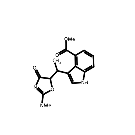 CNC1=NC(=O)C(C(C)c2c[nH]c3cccc(C(=O)OC)c23)O1